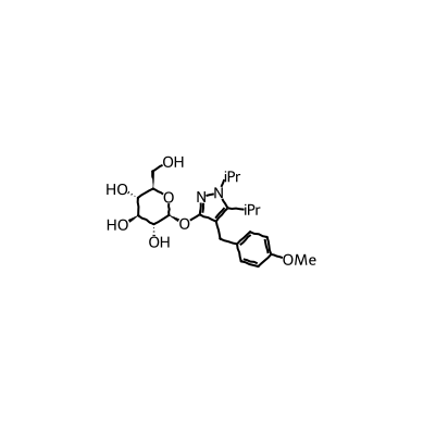 COc1ccc(Cc2c(O[C@@H]3O[C@H](CO)[C@@H](O)[C@H](O)[C@H]3O)nn(C(C)C)c2C(C)C)cc1